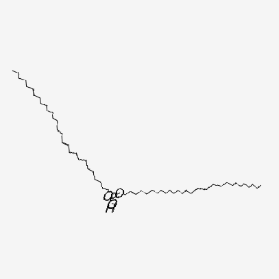 CCCCCCCCCCCCCCCCCCCCCCCCCCCCO[PH](=O)OCCCCCCCCCCCCCCCCCCCCCCCCCCCC